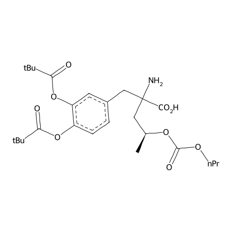 CCCOC(=O)O[C@@H](C)CC(N)(Cc1ccc(OC(=O)C(C)(C)C)c(OC(=O)C(C)(C)C)c1)C(=O)O